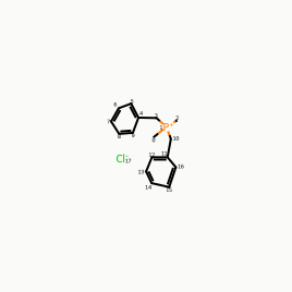 C[P+](C)(Cc1ccccc1)Cc1ccccc1.[Cl-]